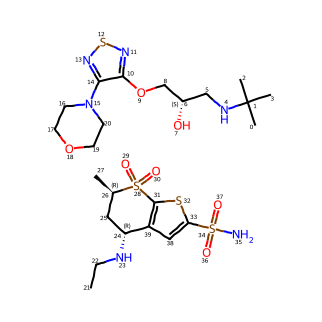 CC(C)(C)NC[C@H](O)COc1nsnc1N1CCOCC1.CCN[C@@H]1C[C@@H](C)S(=O)(=O)c2sc(S(N)(=O)=O)cc21